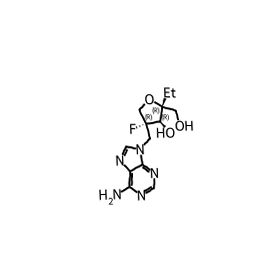 CC[C@]1(CO)OC[C@](F)(Cn2cnc3c(N)ncnc32)[C@@H]1O